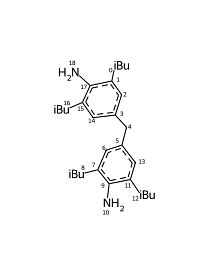 CCC(C)c1cc(Cc2cc(C(C)CC)c(N)c(C(C)CC)c2)cc(C(C)CC)c1N